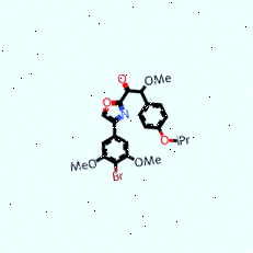 COc1cc(-c2coc(C(=O)C(OC)c3ccc(OC(C)C)cc3)n2)cc(OC)c1Br